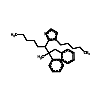 CCCCCC(c1nccn1CCCCC)C(C)(Cc1ccccc1)c1ccccc1